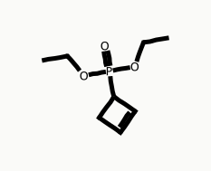 CCOP(=O)(OCC)C1C=CC1